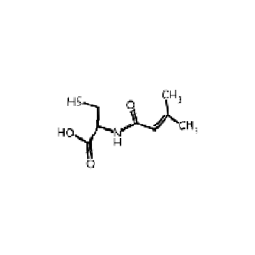 CC(C)=CC(=O)NC(CS)C(=O)O